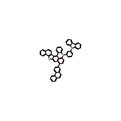 c1cc(N(c2ccc(-c3ccc4c(ccc5ccccc54)c3)cc2)c2ccccc2-c2cccc3oc4c5ccccc5ccc4c23)cc(-n2c3ccccc3c3ccccc32)c1